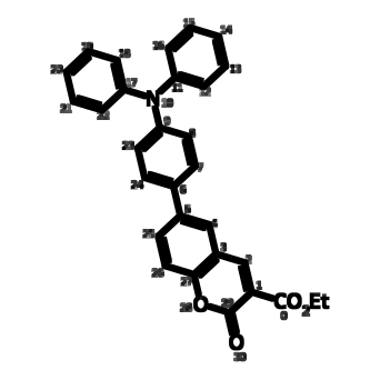 CCOC(=O)c1cc2cc(-c3ccc(N(c4ccccc4)c4ccccc4)cc3)ccc2oc1=O